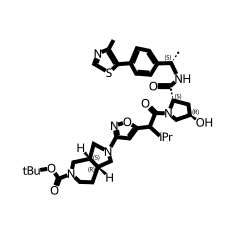 Cc1ncsc1-c1ccc([C@H](C)NC(=O)[C@@H]2C[C@@H](O)CN2C(=O)C(c2cc(N3C[C@H]4CN(C(=O)OC(C)(C)C)CC[C@H]4C3)no2)C(C)C)cc1